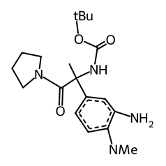 CNc1ccc(C(C)(NC(=O)OC(C)(C)C)C(=O)N2CCCC2)cc1N